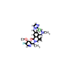 CCOc1cc(C(C)N2CC3(CC3)c3c(CN(C)C)cc(Cn4ccnc4Cl)cc3C2=O)ncc1F